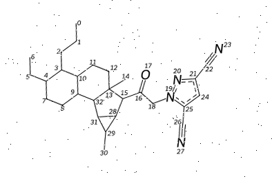 CCCC1C(CC)CCC2C1CCC1(C)C(C(=O)Cn3nc(C#N)cc3C#N)C3C(C)C3C21